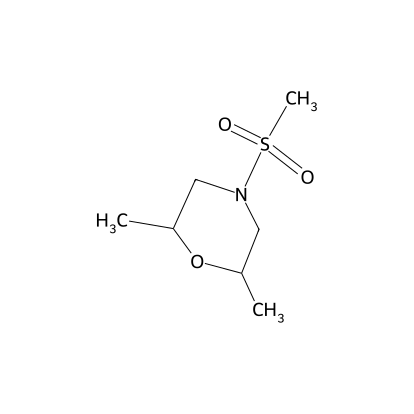 CC1CN(S(C)(=O)=O)CC(C)O1